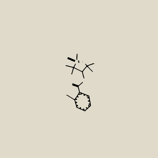 O=C(OC(C(F)(F)F)C(F)(F)S(=O)(=O)O)c1ccccc1Cl